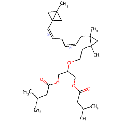 CC(C)CC(=O)OCC(COC(=O)CC(C)C)OCCC1(C)CC1(C)C/C=C\C/C=C\C12CC1(C)C2